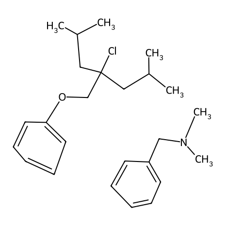 CC(C)CC(Cl)(COc1ccccc1)CC(C)C.CN(C)Cc1ccccc1